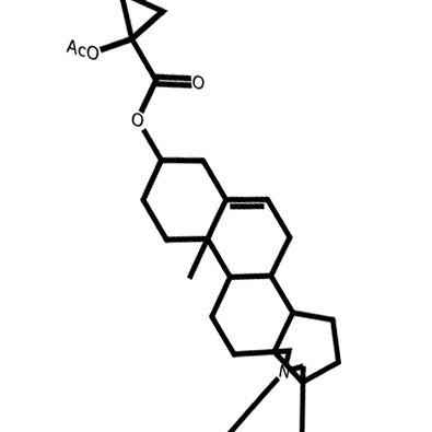 CC(=O)OC1(C(=O)OC2CCC3(C)C(=CCC4C3CCC35CN(C)C(C)C3CCC45)C2)CC1